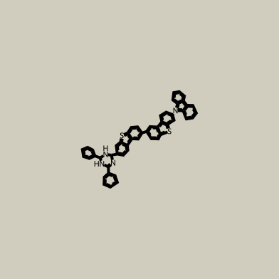 c1ccc(C2=NC(c3ccc4c(c3)sc3ccc(-c5ccc6sc7cc(-n8c9ccccc9c9ccccc98)ccc7c6c5)cc34)NC(c3ccccc3)N2)cc1